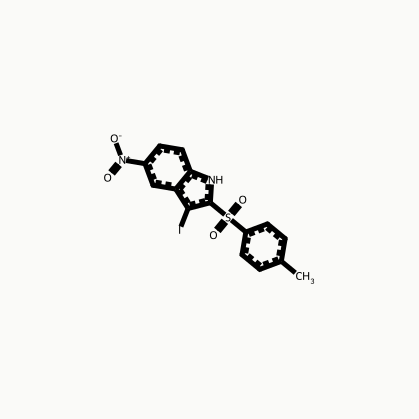 Cc1ccc(S(=O)(=O)c2[nH]c3ccc([N+](=O)[O-])cc3c2I)cc1